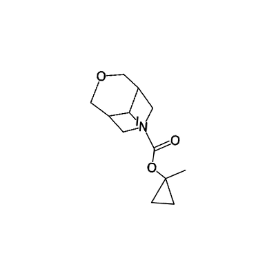 CC1(OC(=O)N2CC3COCC(C2)C3I)CC1